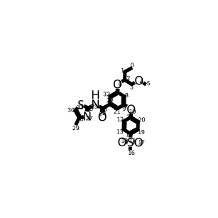 CCC(COC)Oc1cc(Oc2ccc(S(C)(=O)=O)cc2)cc(C(=O)Nc2nc(C)cs2)c1